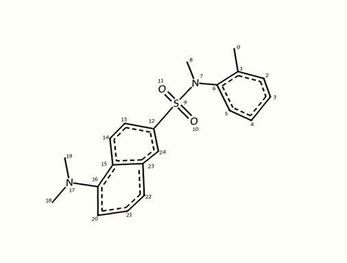 Cc1ccccc1N(C)S(=O)(=O)c1ccc2c(N(C)C)cccc2c1